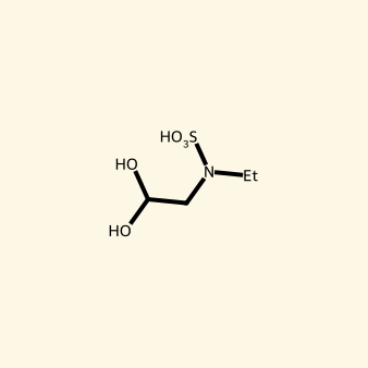 CCN(CC(O)O)S(=O)(=O)O